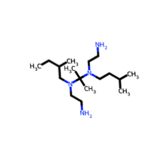 CCC(C)CN(CCN)C(C)(C)N(CCN)CCC(C)C